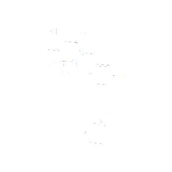 CCC1(CC)C(C)=C(C=O)C(=O)N(Cc2ccc(OCCN3CCCCC3)c(F)c2F)N1C